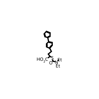 CCN(CC)C(=O)SC(CCc1ccc(-c2ccccc2)cc1)C(=O)O